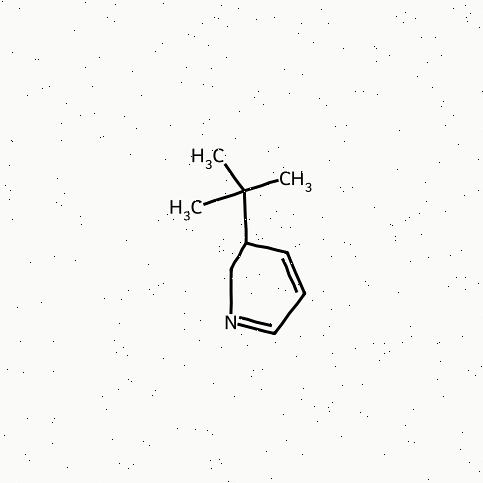 CC(C)(C)C1C=CC=NC1